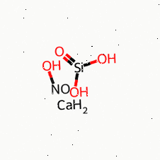 O=NO.O=[Si](O)O.[CaH2]